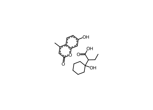 CCC(C(=O)O)C1(O)CCCCC1.Cc1cc(=O)oc2cc(O)ccc12